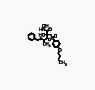 CCCCOc1ccc(S(=O)(=O)CC(O)(CC(C)SCc2ccccc2)C(=O)NO)cc1